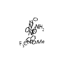 COc1ccc(-c2nc(C(=O)N3CCN(Cc4ccccc4)CC3)c(CN)o2)c2ccc(C(F)(F)F)nc12